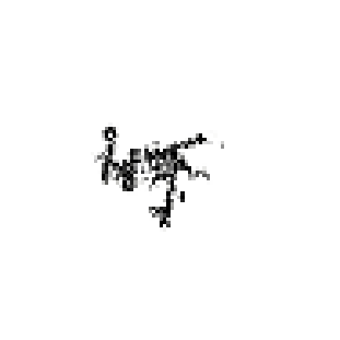 C=C(C[C@@H](CN[C@H](CN)CCCCNC(=O)CC[C@@H](CNCCCCCN)NC[C@H](CCCC)NC[C@H](CCCCNCCN(CC=O)CC=O)NCCC)NC[C@H](CCCN)NCCCc1ccccc1)c1ccccc1